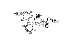 CC(C)(C)OC(=O)N/C=C(\C(=N)c1ccc(O)cc1)c1ccncc1